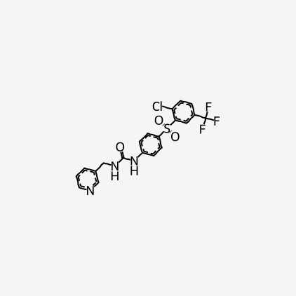 O=C(NCc1cccnc1)Nc1ccc(S(=O)(=O)c2cc(C(F)(F)F)ccc2Cl)cc1